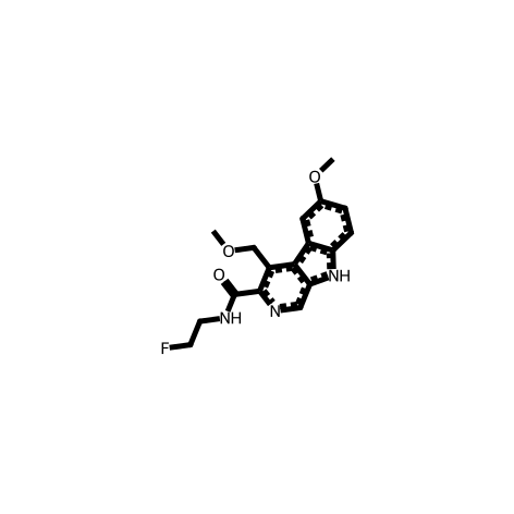 COCc1c(C(=O)NCCF)ncc2[nH]c3ccc(OC)cc3c12